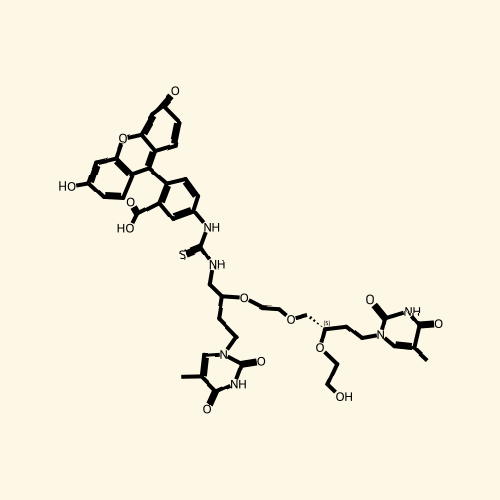 Cc1cn(CCC(CNC(=S)Nc2ccc(-c3c4ccc(=O)cc-4oc4cc(O)ccc34)c(C(=O)O)c2)OCCOC[C@H](CCn2cc(C)c(=O)[nH]c2=O)OCCO)c(=O)[nH]c1=O